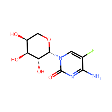 Nc1nc(=O)n([C@H]2OC[C@H](O)[C@H](O)[C@H]2O)cc1F